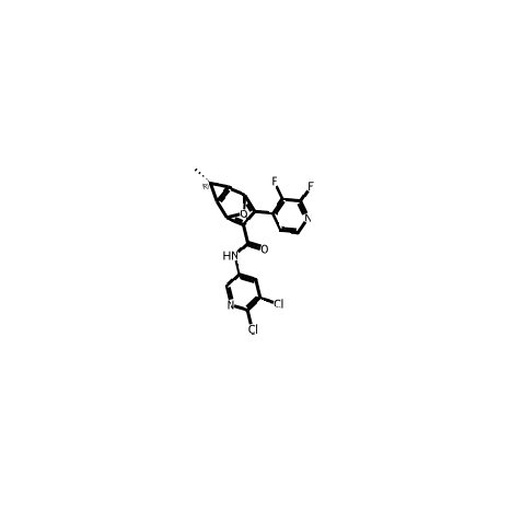 C[C@H]1c2c1c1oc2c(C(=O)Nc2cnc(Cl)c(Cl)c2)c1-c1ccnc(F)c1F